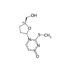 CSc1nc(=O)ccn1C1CC[C@@H](CO)O1